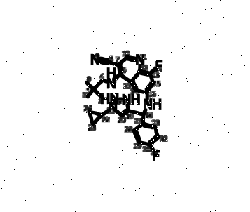 CC(C)(C)CNc1c(C#N)cnc2c(F)cc(NC(C3=CN(C4CC4)NN3)c3ccc(F)cc3)cc12